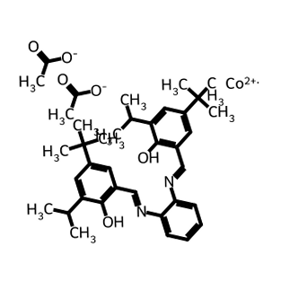 CC(=O)[O-].CC(=O)[O-].CC(C)c1cc(C(C)(C)C)cc(C=Nc2ccccc2N=Cc2cc(C(C)(C)C)cc(C(C)C)c2O)c1O.[Co+2]